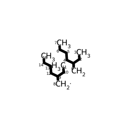 [CH2]C(CC)CCCC.[CH2]C(CC)CCCC